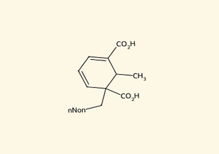 CCCCCCCCCCC1(C(=O)O)C=CC=C(C(=O)O)C1C